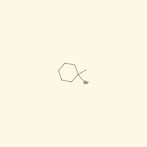 C[C]1([Sb])CCCCC1